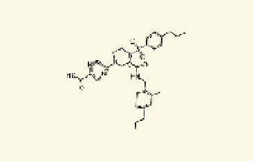 CCCc1ccc(S(=O)(=O)N2CCN(c3cnc(C(=O)O)cn3)C[C@@H]2C(=O)NCc2ccc(CCC)cc2C)cc1